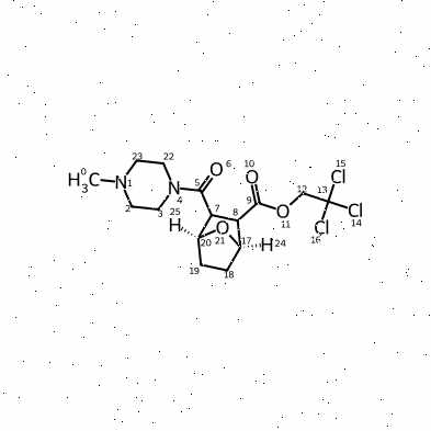 CN1CCN(C(=O)C2C(C(=O)OCC(Cl)(Cl)Cl)[C@H]3CC[C@@H]2O3)CC1